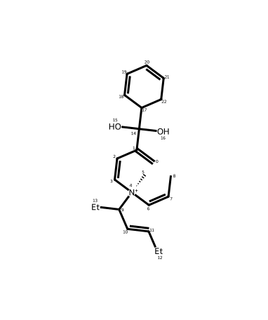 C=C(/C=C\[N@@+](C)(/C=C\C)C(C=CCC)CC)C(O)(O)C1C=CC=CC1